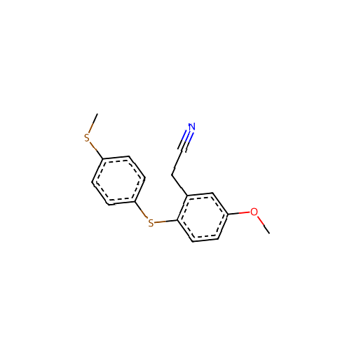 COc1ccc(Sc2ccc(SC)cc2)c(CC#N)c1